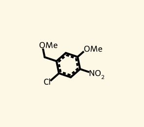 COCc1cc(OC)c([N+](=O)[O-])cc1Cl